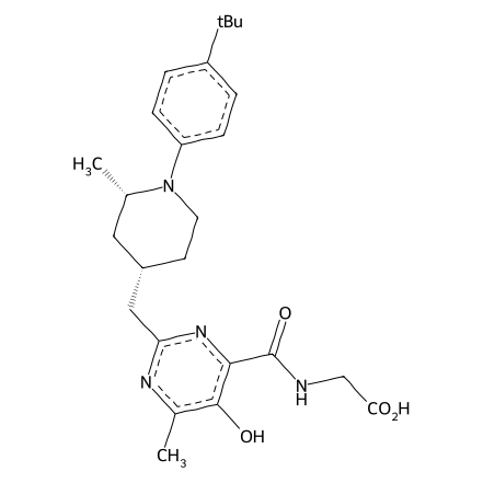 Cc1nc(C[C@H]2CCN(c3ccc(C(C)(C)C)cc3)[C@@H](C)C2)nc(C(=O)NCC(=O)O)c1O